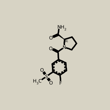 CS(=O)(=O)c1cc(C(=O)N2CCC[C@@H]2C(N)=O)ccc1F